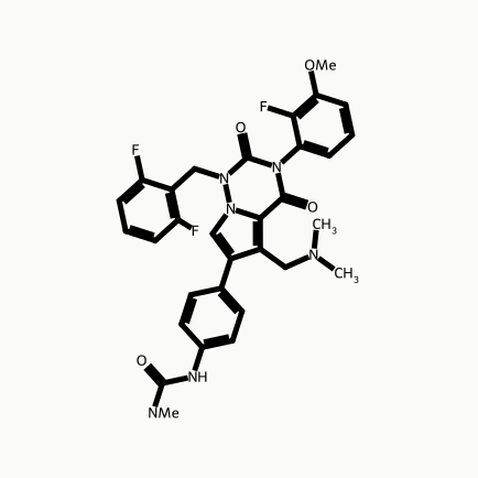 CNC(=O)Nc1ccc(-c2cn3c(c2CN(C)C)c(=O)n(-c2cccc(OC)c2F)c(=O)n3Cc2c(F)cccc2F)cc1